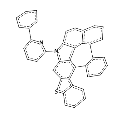 c1ccc(-c2cccc(-n3c4cc5sc6ccccc6c5c5c4c4c6c(cccc6ccc43)-c3ccccc3-5)n2)cc1